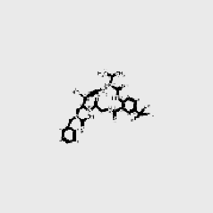 CC#C[C@H](O)C(CN(Cc1ccccc1)C(=O)O)NC(=O)CNC(=O)c1cc(C(F)(F)F)ccc1NC(=O)NC(C)C